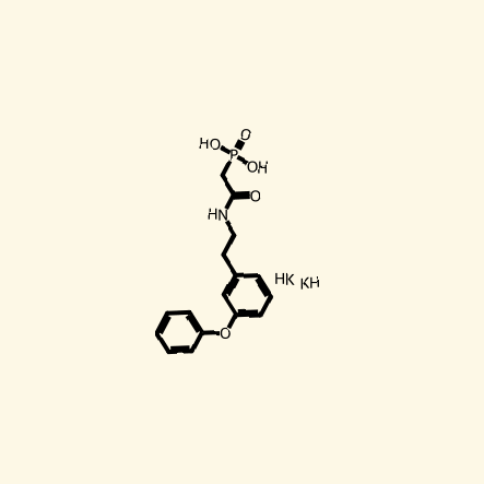 O=C(CP(=O)(O)O)NCCc1cccc(Oc2ccccc2)c1.[KH].[KH]